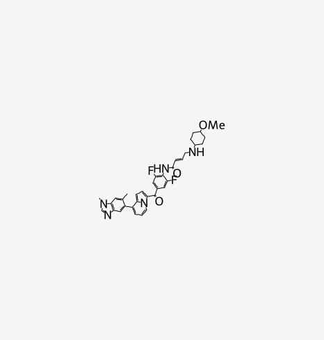 COC1CCC(NC/C=C/C(=O)Nc2c(F)cc(C(=O)c3ccc4c(-c5cc6ncn(C)c6cc5C)cccn34)cc2F)CC1